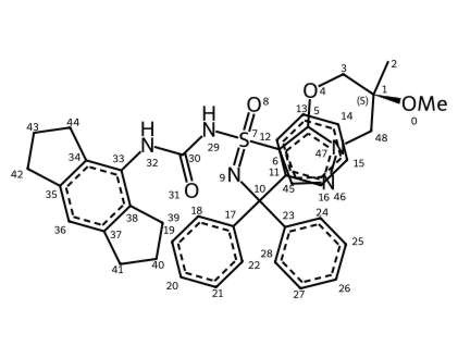 CO[C@]1(C)COc2c(S(=O)(=NC(c3ccccc3)(c3ccccc3)c3ccccc3)NC(=O)Nc3c4c(cc5c3CCC5)CCC4)cnn2C1